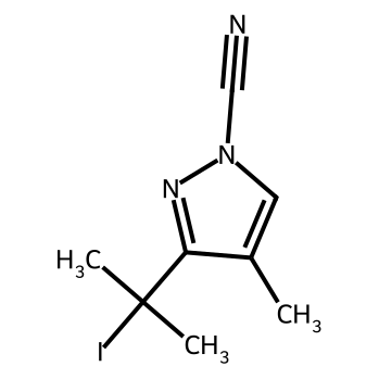 Cc1cn(C#N)nc1C(C)(C)I